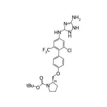 CC(C)(C)OC(=O)N1CCC[C@@H]1COc1ccc(-c2c(Cl)cc(NC3N=C(N)NN3)cc2C(F)(F)F)cc1